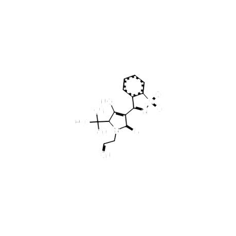 C=CCN1C(=O)C(C2=NS(=O)(=O)c3ccccc32)=C(O)C1C(C)(C)C